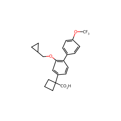 O=C(O)C1(c2ccc(-c3ccc(OC(F)(F)F)cc3)c(OCC3CC3)c2)CCC1